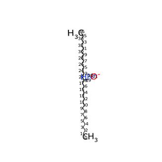 CCCCCCCCCCCCCCCCCCC(C=[NH+][O-])CCCCCCCCCCCCCCC